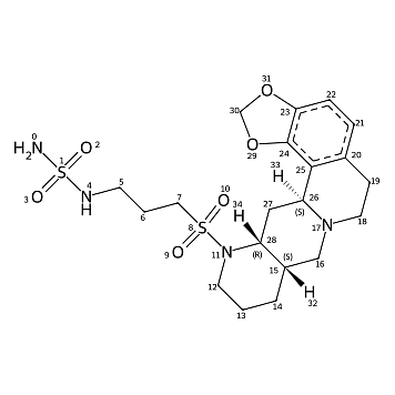 NS(=O)(=O)NCCCS(=O)(=O)N1CCC[C@H]2CN3CCc4ccc5c(c4[C@@H]3C[C@H]21)OCO5